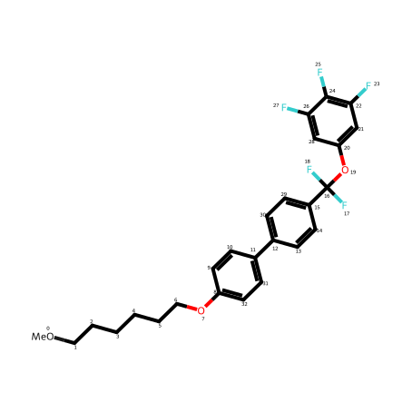 COCCCCCCOc1ccc(-c2ccc(C(F)(F)Oc3cc(F)c(F)c(F)c3)cc2)cc1